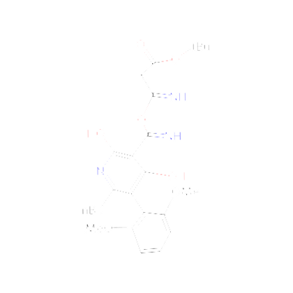 CCCCc1nc(O)c(C(=N)OC(=N)CC(=O)OC(C)(C)C)c(O)c1-c1c(OC)cccc1OC